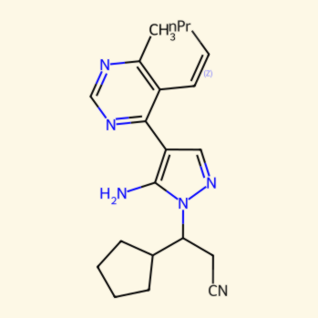 CCC/C=C\c1c(C)ncnc1-c1cnn(C(CC#N)C2CCCC2)c1N